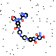 O=C1CCC(N2Cc3cc(N4CCC(CN5CCC(N6Cc7cc(NC(=O)c8cnn9cccnc89)c(N8CCOCC8)cc7C6=O)CC5)CC4)ccc3C2=O)C(=O)N1